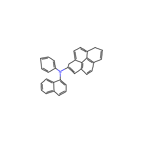 C1=Cc2ccc3c4c(ccc(c24)C1)CC(N(c1ccccc1)c1cccc2ccccc12)=C3